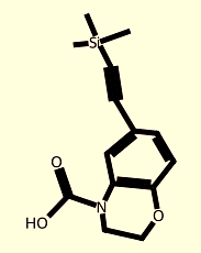 C[Si](C)(C)C#Cc1ccc2c(c1)N(C(=O)O)CCO2